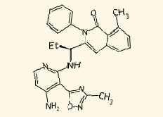 CC[C@H](Nc1nccc(N)c1-c1nc(C)no1)c1cc2cccc(C)c2c(=O)n1-c1ccccc1